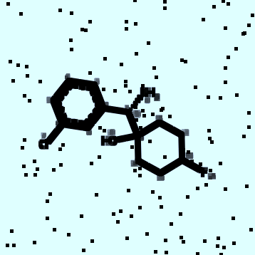 N[C@@H](c1cccc(Cl)c1)C1(O)CCC(F)CC1